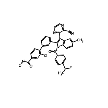 Cc1ccc2c(c1)c(-c1nccnc1C#N)c(-c1cccc(-c3ccc(C(=O)N=O)cc3Cl)c1)n2[S+]([O-])c1ccc(C(C)F)cc1